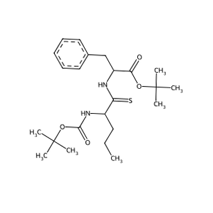 CCCC(NC(=O)OC(C)(C)C)C(=S)NC(Cc1ccccc1)C(=O)OC(C)(C)C